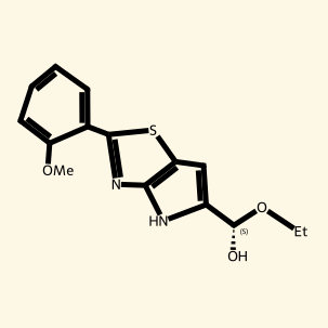 CCO[C@H](O)c1cc2sc(-c3ccccc3OC)nc2[nH]1